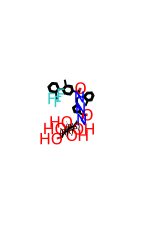 Cc1cc(C(=O)N2Cc3ccc(C(=O)N(C)C[C@H](O)[C@@H](O)[C@H](O)[C@H](O)CO)n3Cc3ccccc32)ccc1-c1ccccc1C(F)(F)F